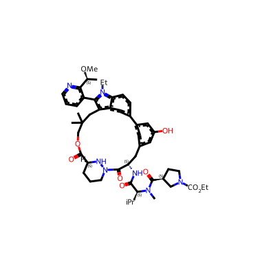 CCOC(=O)N1CC[C@H](C(=O)N(C)[C@H](C(=O)N[C@H]2Cc3cc(O)cc(c3)-c3ccc4c(c3)c(c(-c3cccnc3[C@H](C)OC)n4CC)CC(C)(C)COC(=O)[C@@H]3CCCN(N3)C2=O)C(C)C)C1